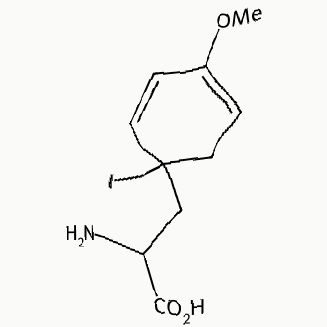 COC1=CCC(I)(CC(N)C(=O)O)C=C1